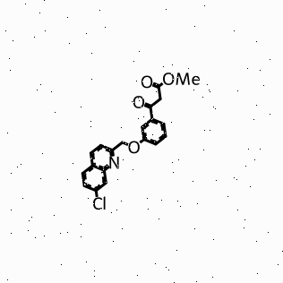 COC(=O)CC(=O)c1cccc(OCc2ccc3ccc(Cl)cc3n2)c1